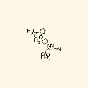 COC(=O)CC1CC(C#N)=NN1c1ccc(Oc2ccccc2C(C)C)cc1